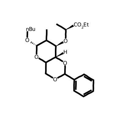 CCCCO[C@H]1OC2COC(c3ccccc3)O[C@H]2[C@H](O[C@@H](C)C(=O)OCC)C1C